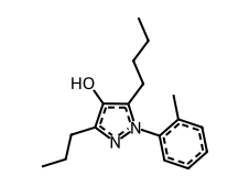 CCCCc1c(O)c(CCC)nn1-c1ccccc1C